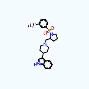 Cc1cccc(S(=O)(=O)N2CCCC2CN2CCC(c3c[nH]c4ccccc34)CC2)c1